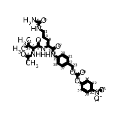 CC(=O)NC(C(=O)NC(CCCNC(N)=O)C(=O)Nc1ccc(COC(=O)Oc2ccc([N+](=O)[O-])cc2)cc1)C(C)C